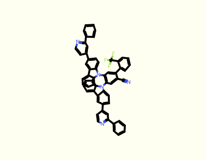 N#Cc1cc(-n2c3ccccc3c3cc(-c4ccnc(-c5ccccc5)c4)ccc32)c(-n2c3ccccc3c3cc(-c4ccnc(-c5ccccc5)c4)ccc32)cc1-c1ccccc1C(F)(F)F